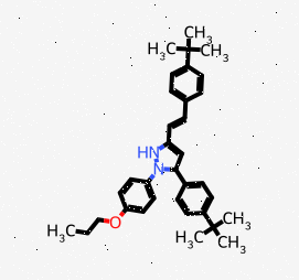 CCCOc1ccc(N2NC(C=Cc3ccc(C(C)(C)C)cc3)=CC2c2ccc(C(C)(C)C)cc2)cc1